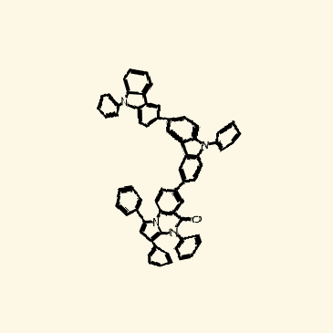 O=c1c2cc(-c3ccc4c(c3)c3cc(-c5ccc6c(c5)c5ccccc5n6-c5ccccc5)ccc3n4-c3ccccc3)ccc2n2c(-c3ccccc3)cc(-c3ccccc3)c2n1-c1ccccc1